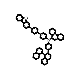 c1ccc2c(-c3c(-c4ccc(N(c5ccc(-c6ccc(-c7ccc8c(c7)oc7ccccc78)cc6)cc5)c5cc6ccccc6c6ccccc56)cc4)ccc4ccccc34)cccc2c1